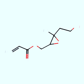 C=CC(=O)OCC1OC1(C)CCO